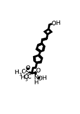 CC(CCc1ccc(-c2ccc(C=CC3CC(CO)C3)cc2)cc1)(C(=O)NO)S(C)(=O)=O